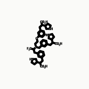 O=C(O)C(Cc1cccc(CC(N(CCOc2cccc(CC(C(=O)O)C3CCNC3)c2)Cc2cccc(CC(C(=O)O)C3CCNC3)c2)C(F)(F)F)c1)C1CCNC1